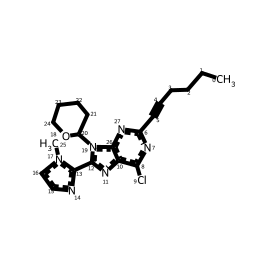 CCCCC#Cc1nc(Cl)c2nc(-c3nccn3C)n(C3CCCCO3)c2n1